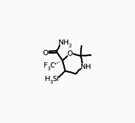 CC1(C)NCC([SiH3])[C@](C(N)=O)(C(F)(F)F)O1